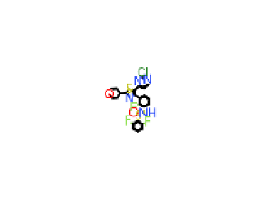 [O-][S+](Nc1cccc(-c2nc(C3CCOCC3)sc2-c2ccnc(Cl)n2)c1F)c1c(F)cccc1F